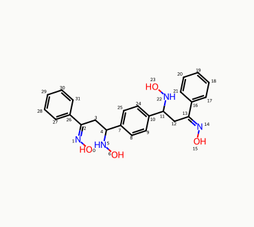 O/N=C(\CC(NO)c1ccc(C(C/C(=N\O)c2ccccc2)NO)cc1)c1ccccc1